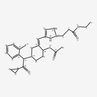 CCOC(=O)CCN1NN=C(C=C2CN(C(C(=O)C3CC3)c3ccccc3F)CCC2SC(C)=O)N1